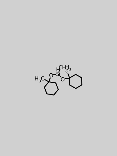 C[SiH](OC1(C)CCCCC1)OC1(C)CCCCC1